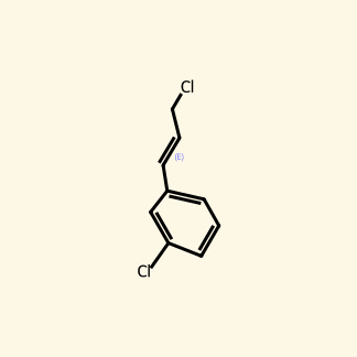 ClC/C=C/c1cccc(Cl)c1